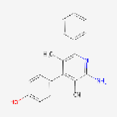 Cc1c(-c2ccccc2)nc(N)c(C#N)c1-c1ccc(O)cc1